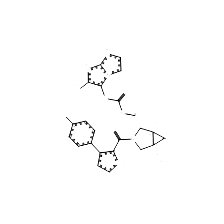 Cc1ccc(-c2ccsc2C(=O)N2C[C@@H]3C[C@@H]3[C@H]2CNC(=O)Oc2c(C)nc3sccn23)cc1